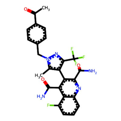 CC(=O)c1ccc(Cn2nc(C(F)(F)F)c(-c3c(C(N)=O)nc4cccc(F)c4c3C(N)=O)c2C)cc1